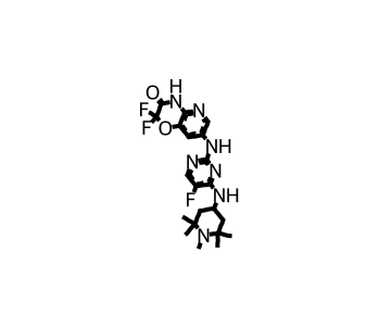 CN1C(C)(C)CC(Nc2nc(Nc3cnc4c(c3)OC(F)(F)C(=O)N4)ncc2F)CC1(C)C